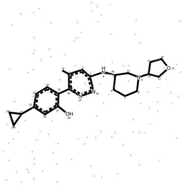 Cc1cc(N[C@@H]2CCCN(C3CCOC3)C2)nnc1-c1ccc(C2CC2)cc1O